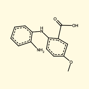 COc1ccc(Nc2ccccc2N)c(C(=O)O)c1